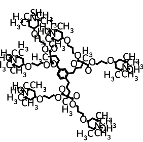 CC(CCCc1ccc(CCCC(C)(C(=O)OCCCOC2CC(C)(C)N(O)C(C)(C)C2)C(=O)OCCCOC2CC(C)(C)N(O)C(C)(C)C2)c(CCCC(C)(C(=O)OCCCOC2CC(C)(C)N(O)C(C)(C)C2)C(=O)OCCCOC2CC(C)(C)N(O)C(C)(C)C2)c1)(C(=O)OCCCOC1CC(C)(C)N(O)C(C)(C)C1)C(=O)OCCCOC1CC(C)(C)N(S)C(C)(C)C1